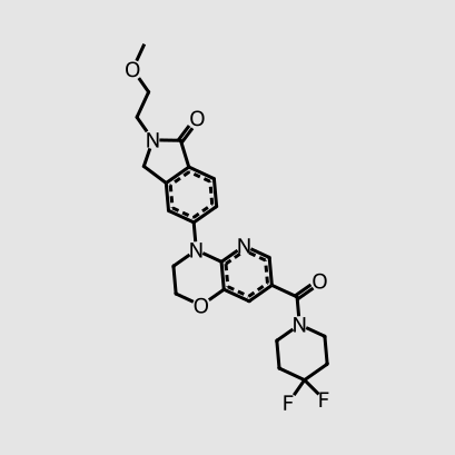 COCCN1Cc2cc(N3CCOc4cc(C(=O)N5CCC(F)(F)CC5)cnc43)ccc2C1=O